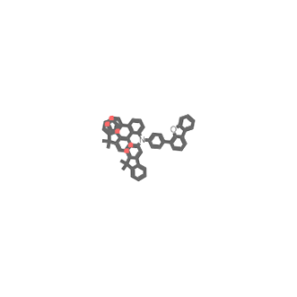 CC1(C)c2ccccc2-c2cc(N(c3ccc(-c4cccc5c4oc4ccccc45)cc3)c3cccc(-c4ccccc4)c3-c3cccc4c3-c3ccccc3C4(C)C)ccc21